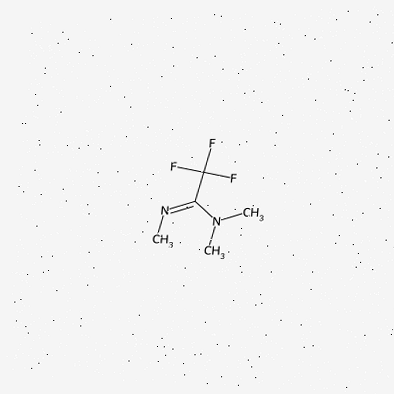 C/N=C(\N(C)C)C(F)(F)F